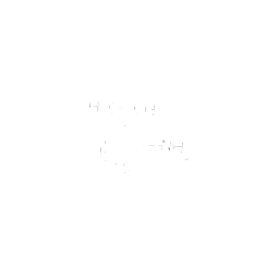 CC.Nc1cccs1